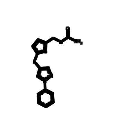 NC(=O)OCc1ccc(Sc2cnn(-c3ccccc3)c2)s1